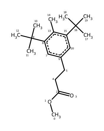 COC(=O)CCc1cc(C(C)(C)C)c(C)c(C(C)(C)C)c1